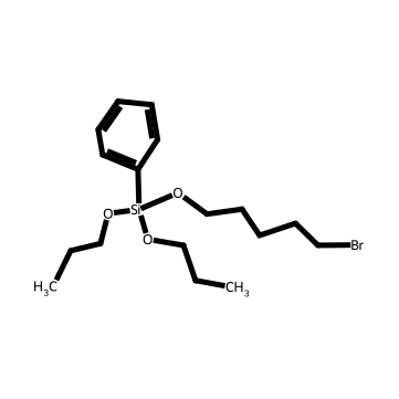 CCCO[Si](OCCC)(OCCCCCBr)c1ccccc1